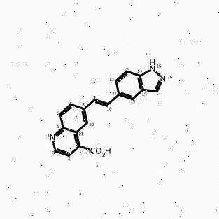 O=C(O)c1ccnc2ccc(C=Cc3ccc4[nH]ncc4c3)cc12